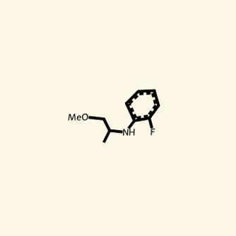 COCC(C)Nc1ccccc1F